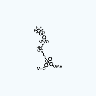 COc1ccc(C(OCCCCCCOC(=O)NCCCN2C(=O)c3ccc(C(=O)Oc4c(F)c(F)c(F)c(F)c4F)cc3C2=O)(c2ccccc2)c2ccc(OC)cc2)cc1